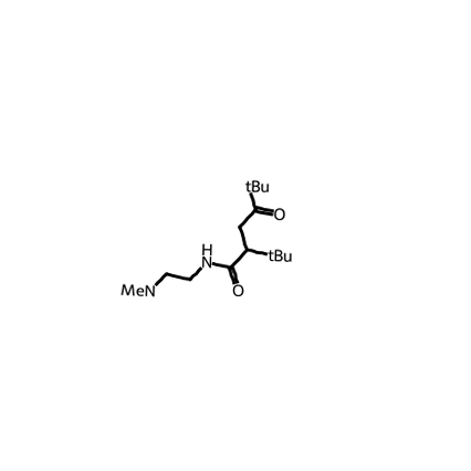 CNCCNC(=O)C(CC(=O)C(C)(C)C)C(C)(C)C